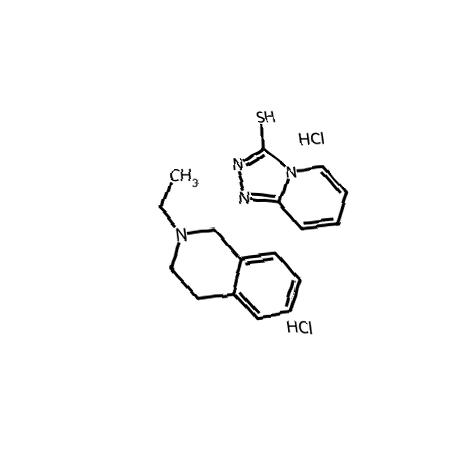 CCN1CCc2ccccc2C1.Cl.Cl.Sc1nnc2ccccn12